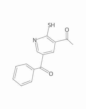 CC(=O)c1cc(C(=O)c2ccccc2)cnc1S